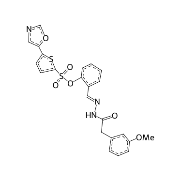 COc1cccc(CC(=O)N/N=C/c2ccccc2OS(=O)(=O)c2ccc(-c3cnco3)s2)c1